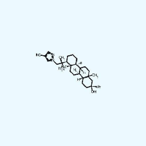 CCC[C@@]1(O)CC[C@@H]2[C@H]3CC[C@]4(C)[C@@H](C(C)(C)Cn5cc(C#N)cn5)CCC[C@H]4[C@@H]3CC[C@]2(C)C1